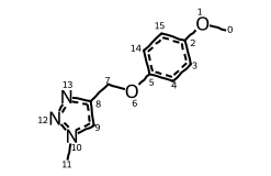 COc1ccc(OCc2cn(C)nn2)cc1